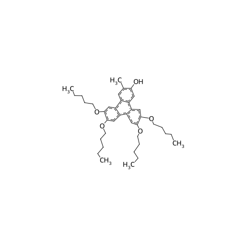 CCCCCOc1cc2c3cc(C)c(O)cc3c3cc(OCCCCC)c(OCCCCC)cc3c2cc1OCCCCC